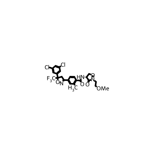 COCCN1OC[C@@H](NC(=O)c2ccc(C3=NOC(c4cc(Cl)cc(Cl)c4)(C(F)(F)F)C3)cc2C)C1=O